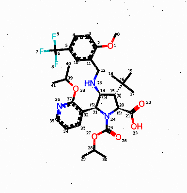 COc1ccc(C(F)(F)F)cc1CN[C@H]1[C@H](C(C)(C)C)[C@@H](C(=O)O)N(C(=O)OC(C)C)[C@H]1c1cccnc1OC(C)C